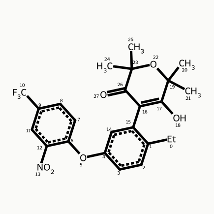 CCc1ccc(Oc2ccc(C(F)(F)F)cc2[N+](=O)[O-])cc1C1=C(O)C(C)(C)OC(C)(C)C1=O